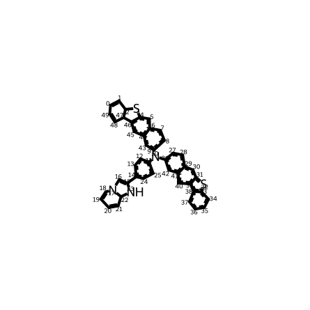 C1=CC2Sc3cc4ccc(N(c5ccc(C6=CN7C=CC=CC7N6)cc5)c5ccc6cc7sc8ccccc8c7cc6c5)cc4cc3C2C=C1